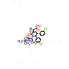 CCC(C(=O)NC(C)(C)C)N1C(=O)[C@@](C)(CC(=O)O)C[C@H](c2cccc(Cl)c2)[C@H]1c1ccc(Cl)cc1